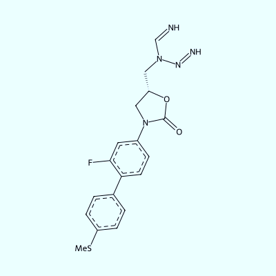 CSc1ccc(-c2ccc(N3C[C@H](CN(C=N)N=N)OC3=O)cc2F)cc1